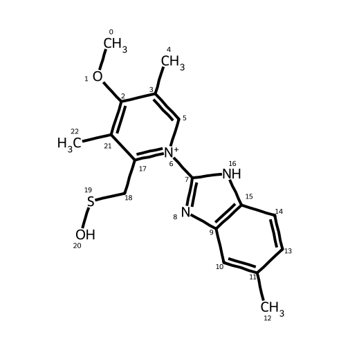 COc1c(C)c[n+](-c2nc3cc(C)ccc3[nH]2)c(CSO)c1C